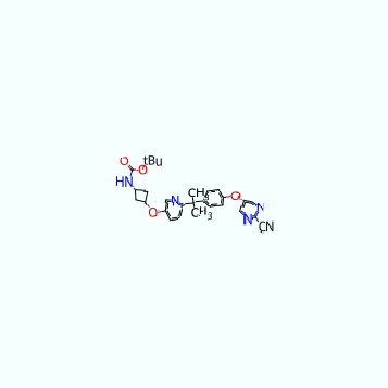 CC(C)(C)OC(=O)NC1CC(Oc2ccc(C(C)(C)c3ccc(Oc4cnc(C#N)nc4)cc3)nc2)C1